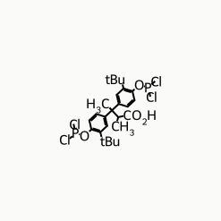 CC(C(=O)O)C(C)(c1ccc(OP(Cl)Cl)c(C(C)(C)C)c1)c1ccc(OP(Cl)Cl)c(C(C)(C)C)c1